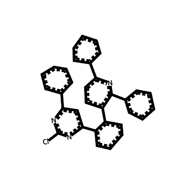 Clc1nc(-c2ccccc2)cc(-c2ccccc2-c2ccc(-c3ccccc3)nc2-c2ccccc2)n1